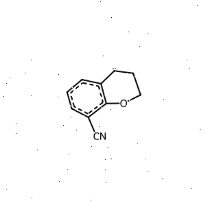 N#Cc1cccc2c1OCC[C]2